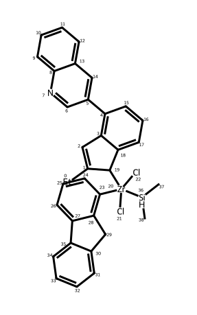 CCC1=Cc2c(-c3cnc4ccccc4c3)cccc2[CH]1[Zr]([Cl])([Cl])([c]1cccc2c1Cc1ccccc1-2)[SiH](C)C